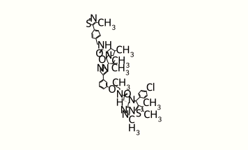 Cc1ncsc1-c1ccc(CNC(=O)[C@@H]2C[C@@H](C)CN2C(=O)[C@@H](C(C)C)n2cc(-c3cccc(O[C@H](C)CNC(=O)C[C@@H]4N=C(c5ccc(Cl)cc5)c5c(sc(C)c5C)-n5c(C)nnc54)c3)cn2)cc1